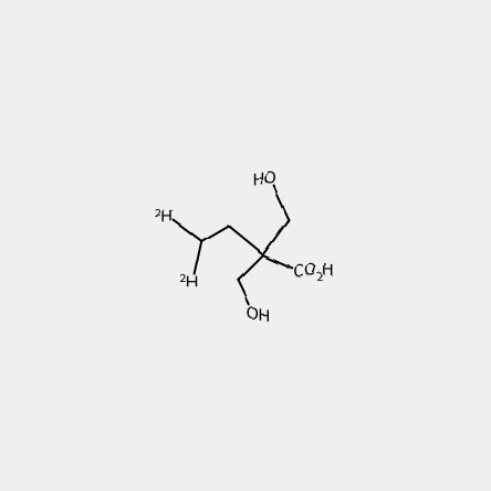 [2H]C([2H])CC(CO)(CO)C(=O)O